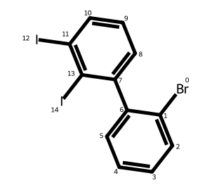 Brc1ccccc1-c1cccc(I)c1I